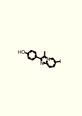 Cc1c(-c2ccc(O)cc2)nc2ccc(I)cn12